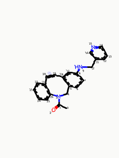 CC(=O)N1Cc2ccc(NCc3cccnc3)cc2/C=C\c2ccccc21